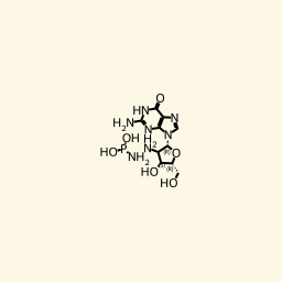 NP(O)O.Nc1nc2c(ncn2[C@@H]2O[C@H](CO)[C@@H](O)C2N)c(=O)[nH]1